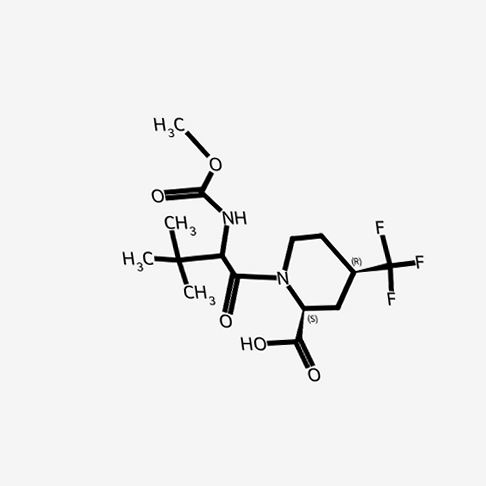 COC(=O)NC(C(=O)N1CC[C@@H](C(F)(F)F)C[C@H]1C(=O)O)C(C)(C)C